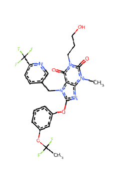 Cn1c(=O)n(CCCO)c(=O)c2c1nc(Oc1cccc(OC(C)(F)F)c1)n2Cc1ccc(C(F)(F)F)nc1